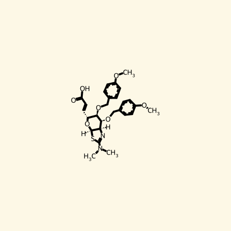 COc1ccc(CO[C@@H]2[C@H]3N=C(N(C)C)S[C@H]3O[C@H](/C=C/C(=O)O)[C@H]2OCc2ccc(OC)cc2)cc1